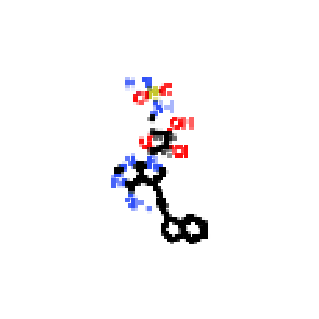 Nc1ncnc2c1c(C#CC1CCc3ccccc31)cn2[C@@H]1O[C@H](CNS(N)(=O)=O)[C@@H](O)[C@H]1O